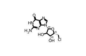 Nc1nc2c(ncn2[C@@H]2O[C@H](CCl)[C@H](O)C2O)c(=O)[nH]1